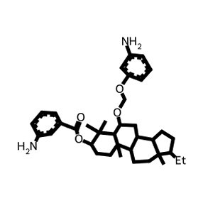 CCC1CCC2C3CC(OCOc4cccc(N)c4)C4C(C)(C)C(OC(=O)c5cccc(N)c5)CCC4(C)C3CCC12C